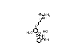 Cc1cc(OCCCONC(=N)N)cc(OS(=O)(=O)c2ccccc2NO)c1.Cl